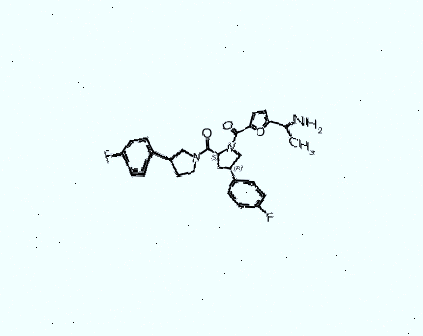 CC(N)c1ccc(C(=O)N2C[C@@H](c3ccc(F)cc3)C[C@H]2C(=O)N2CCC(c3ccc(F)cc3)C2)o1